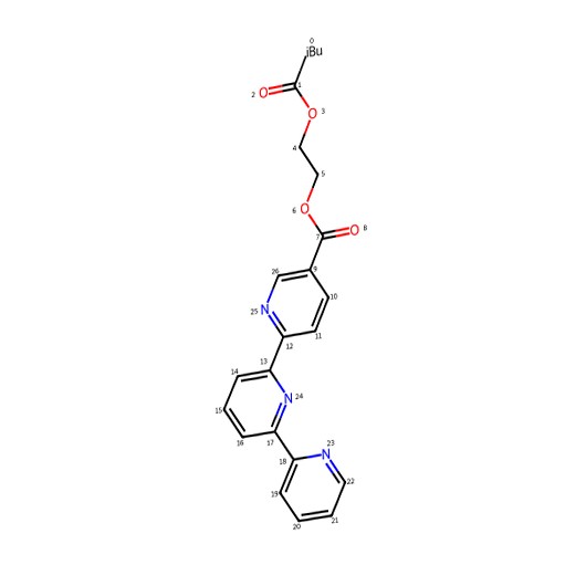 CCC(C)C(=O)OCCOC(=O)c1ccc(-c2cccc(-c3ccccn3)n2)nc1